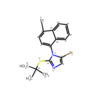 CCc1ccc(-n2c(Br)cnc2SC(C)(C)C(=O)O)c2ccccc12